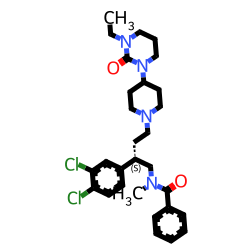 CCN1CCCN(C2CCN(CC[C@H](CN(C)C(=O)c3ccccc3)c3ccc(Cl)c(Cl)c3)CC2)C1=O